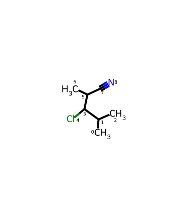 CC(C)C(Cl)C(C)C#N